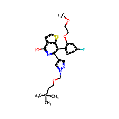 COCCOc1cc(F)ccc1-c1c(-c2cnn(COCC[Si](C)(C)C)c2)nc(O)c2ccsc12